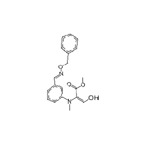 COC(=O)C(=CO)N(C)c1cccc(C=NOCc2ccccc2)c1